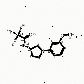 COc1cccc(N2CCC(NC(=O)C(F)(F)F)C2)c1